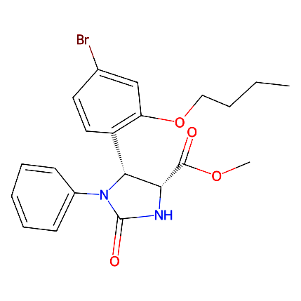 CCCCOc1cc(Br)ccc1[C@@H]1[C@H](C(=O)OC)NC(=O)N1c1ccccc1